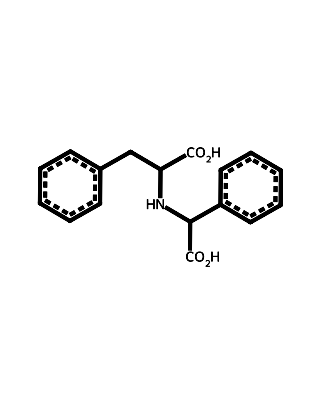 O=C(O)C(Cc1ccccc1)NC(C(=O)O)c1ccccc1